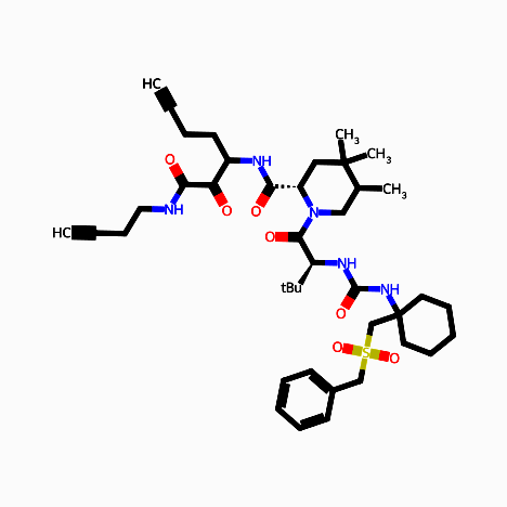 C#CCCNC(=O)C(=O)C(CCC#C)NC(=O)[C@@H]1CC(C)(C)C(C)CN1C(=O)[C@@H](NC(=O)NC1(CS(=O)(=O)Cc2ccccc2)CCCCC1)C(C)(C)C